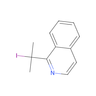 CC(C)(I)c1nccc2ccccc12